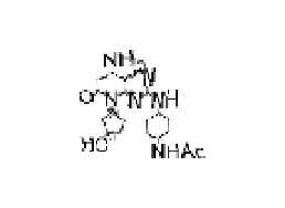 CC(=O)NC1CCC(Nc2ncc3c(N)cc(=O)n([C@H]4CC[C@H](O)C4)c3n2)CC1